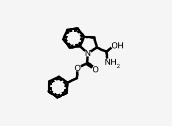 NC(O)C1Cc2ccccc2N1C(=O)OCc1ccccc1